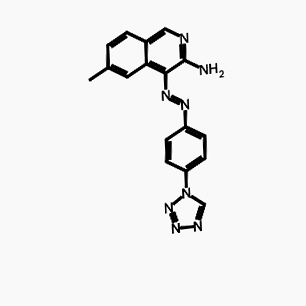 Cc1ccc2cnc(N)c(/N=N/c3ccc(-n4cnnn4)cc3)c2c1